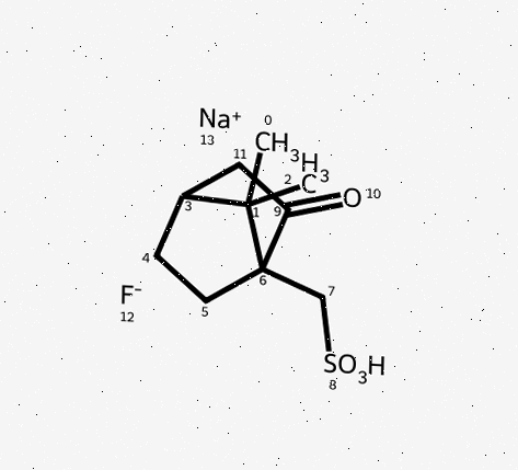 CC1(C)C2CCC1(CS(=O)(=O)O)C(=O)C2.[F-].[Na+]